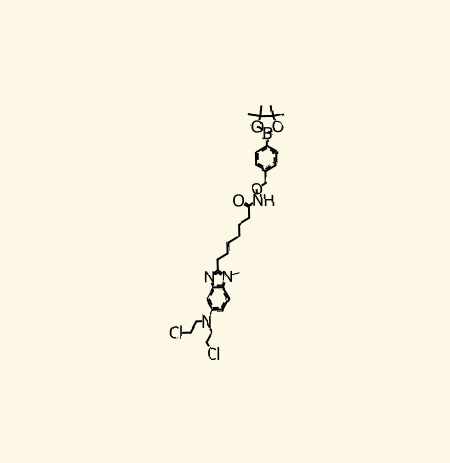 Cn1c(CCCCCCC(=O)NOCc2ccc(B3OC(C)(C)C(C)(C)O3)cc2)nc2cc(N(CCCl)CCCl)ccc21